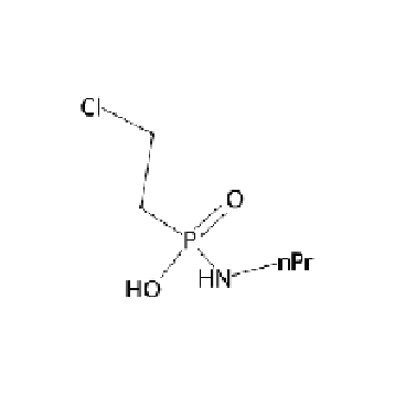 CCCNP(=O)(O)CCCl